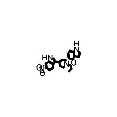 CCC(Oc1cccc2[nH]ccc12)N1CC=C(c2c[nH]c3cc([N+](=O)[O-])ccc23)CC1